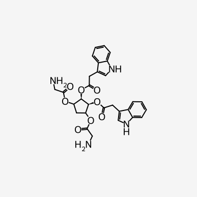 NCC(=O)OC1CC(OC(=O)CN)[C@H](OC(=O)Cc2c[nH]c3ccccc23)[C@@H]1OC(=O)Cc1c[nH]c2ccccc12